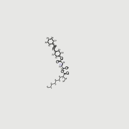 CCCCCCCC(CC)C(=O)OC(=O)/C=C/C(=O)Oc1ccc(N=Nc2ccccc2)cc1